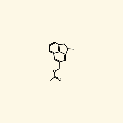 CC(=O)OCc1cc2c3c(cccc3c1)CC2C